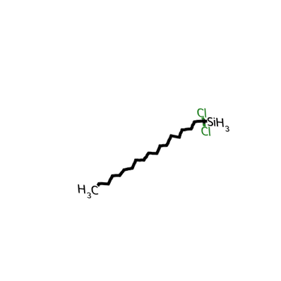 CCCCCCCCCCCCCCCCCCC([SiH3])(Cl)Cl